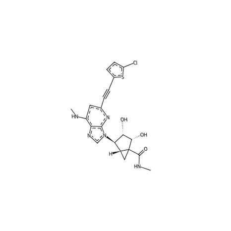 CNC(=O)C12C[C@@H]1[C@@H](n1cnc3c(NC)cc(C#Cc4ccc(Cl)s4)nc31)[C@H](O)[C@@H]2O